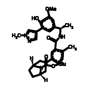 COc1cc([C@@H](C)NC(=O)c2cc(N3C[C@H]4CC[C@@H](C3)N4C(=O)OC(C)(C)C)ccc2C)cc(-c2cnn(C)c2)c1O